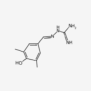 Cc1cc(C=NNC(=N)N)cc(C)c1O